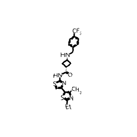 CCc1nc(C)c(-c2csc(NC(=O)[C@H]3C[C@@H](NCc4ccc(C(F)(F)F)cc4)C3)n2)s1